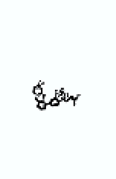 CC(=O)N1CCN(Cc2cccc(-c3ccc4c(c3)N(C)S(=O)(=O)N4CC3CC3(F)F)c2F)CC1